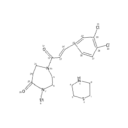 C1CSCCN1.CCN1CCN(C(=O)C=Cc2ccc(Cl)c(Cl)c2)CCC1=O